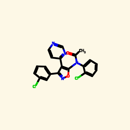 CC(=O)N(c1ccccc1Cl)c1onc(-c2cccc(Cl)c2)c1-c1ccncn1